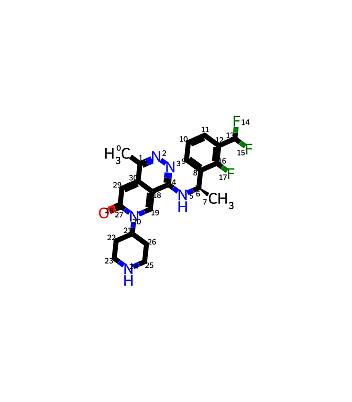 Cc1nnc(N[C@H](C)c2cccc(C(F)F)c2F)c2cn(C3CCNCC3)c(=O)cc12